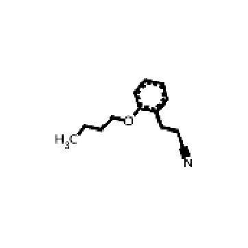 CCCCOc1ccccc1CCC#N